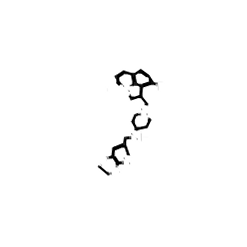 O=c1ccc2ccc(F)c3c2n1CC3CN1CCC(NCc2cnc3c(c2)OCCO3)CC1